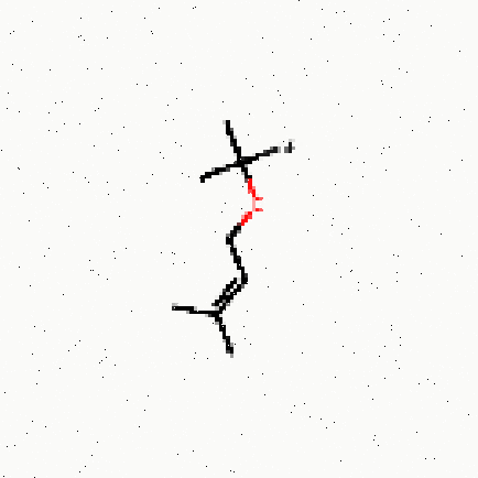 [CH2]CCC(C)(C)OCC=C(C)C